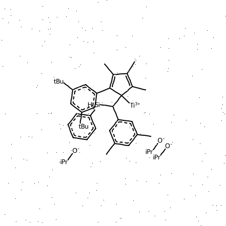 CC(C)[O-].CC(C)[O-].CC(C)[O-].CC1=C(C)[C]([Ti+3])(C([SiH2]c2ccccc2)c2cc(C)cc(C)c2)C(c2cc(C(C)(C)C)cc(C(C)(C)C)c2)=C1C